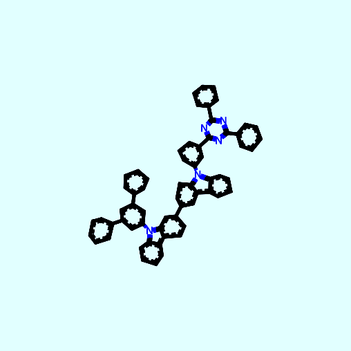 c1ccc(-c2cc(-c3ccccc3)cc(-n3c4ccccc4c4ccc(-c5ccc6c(c5)c5ccccc5n6-c5cccc(-c6nc(-c7ccccc7)nc(-c7ccccc7)n6)c5)cc43)c2)cc1